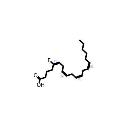 CCCCC/C=C\C/C=C\C/C=C\C/C=C(/F)CCCC(=O)O